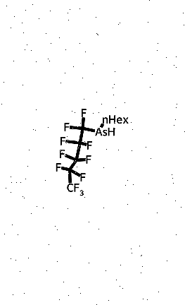 CCCCCC[AsH]C(F)(F)C(F)(F)C(F)(F)C(F)(F)C(F)(F)F